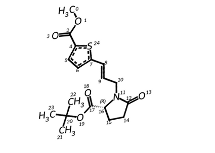 COC(=O)c1ccc(C=CCN2C(=O)CC[C@@H]2C(=O)OC(C)(C)C)s1